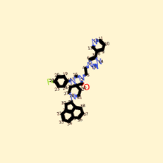 O=C1N(CCn2cc(-c3cccnc3)nn2)CN(c2ccc(F)cc2)C12CCN([C@H]1Cc3cccc4cccc1c34)CC2